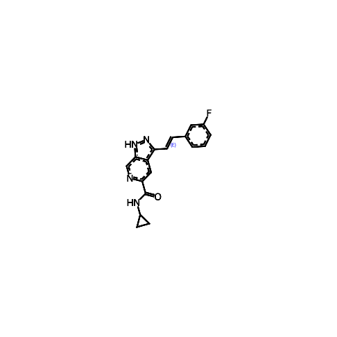 O=C(NC1CC1)c1cc2c(/C=C/c3cccc(F)c3)n[nH]c2cn1